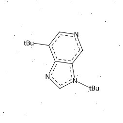 CC(C)(C)c1cncc2c1ncn2C(C)(C)C